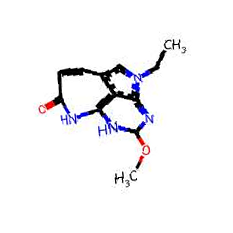 CCn1cc2c3c1=NC(OC)NC=3NC(=O)C=C2